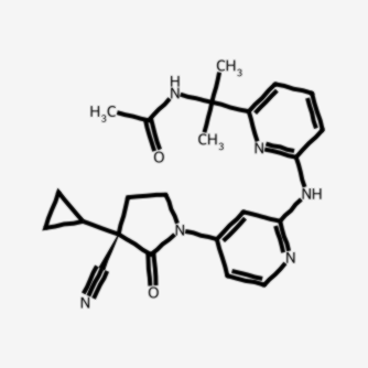 CC(=O)NC(C)(C)c1cccc(Nc2cc(N3CC[C@@](C#N)(C4CC4)C3=O)ccn2)n1